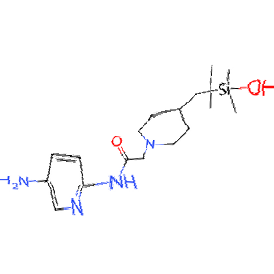 CC(C)(CC1CCN(CC(=O)Nc2ccc(N)cn2)CC1)[Si](C)(C)O